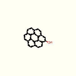 Oc1cc2ccc3ccc4ccc5ccc6ccc1c1c6c5c4c3c21